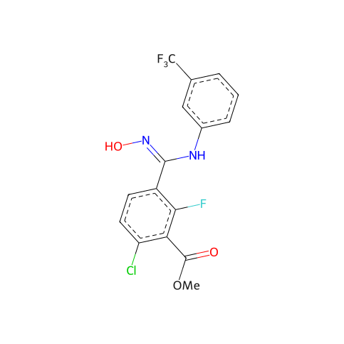 COC(=O)c1c(Cl)ccc(/C(=N\O)Nc2cccc(C(F)(F)F)c2)c1F